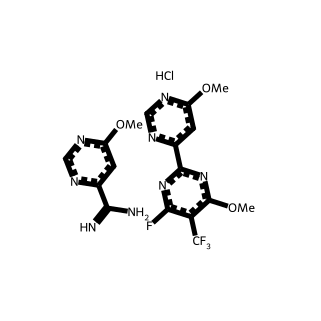 COc1cc(-c2nc(F)c(C(F)(F)F)c(OC)n2)ncn1.COc1cc(C(=N)N)ncn1.Cl